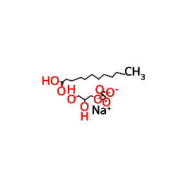 CCCCCCCCCCCC(=O)O.O=S(=O)([O-])OCC(O)CO.[Na+]